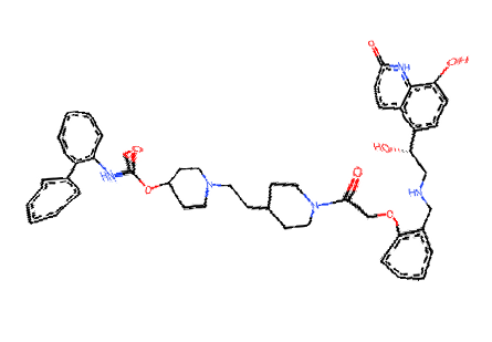 O=C(Nc1ccccc1-c1ccccc1)OC1CCN(CCC2CCN(C(=O)COc3ccccc3CNC[C@H](O)c3ccc(O)c4[nH]c(=O)ccc34)CC2)CC1